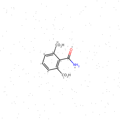 NC(=O)c1c(C(=O)O)cccc1C(=O)O